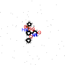 COc1cc(=O)n(C)nc1-c1cc(NS(=O)(=O)C2CCCC2)ccc1Oc1ccccc1